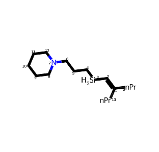 CCCC(=C[SiH2]CCCN1CCCCC1)CCC